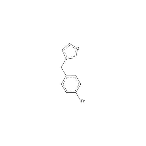 CC(C)c1ccc(C[n+]2ccoc2)cc1